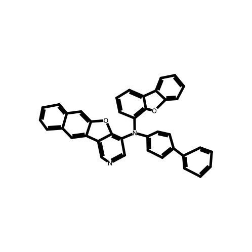 c1ccc(-c2ccc(N(c3cccc4c3oc3ccccc34)c3cncc4c3oc3cc5ccccc5cc34)cc2)cc1